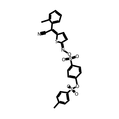 Cc1ccc(S(=O)(=O)Oc2ccc(S(=O)(=O)O/N=C3C=C/C(=C(/C#N)c4ccccc4C)S\3)cc2)cc1